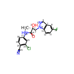 C[C@](O)(Cn1ncc2cc(F)ccc21)C(=O)Nc1ccc(C#N)c(Cl)c1